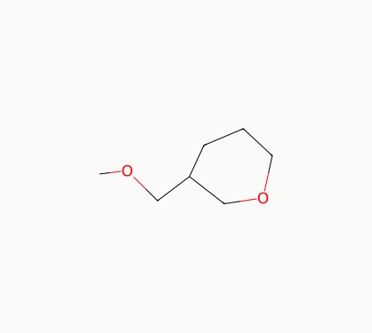 COCC1CCCOC1